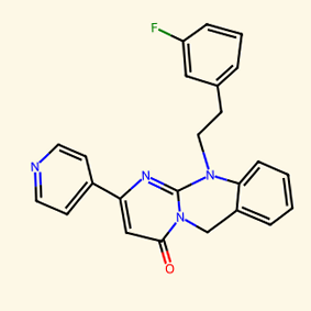 O=c1cc(-c2ccncc2)nc2n1Cc1ccccc1N2CCc1cccc(F)c1